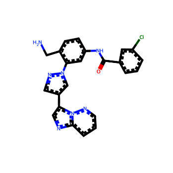 NCc1ccc(NC(=O)c2cccc(Cl)c2)cc1-n1cc(-c2cnc3cccnn23)cn1